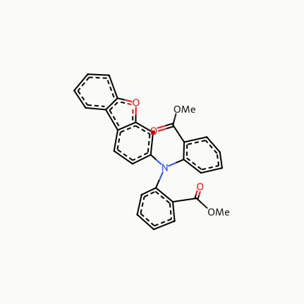 COC(=O)c1ccccc1N(c1ccc2c(c1)oc1ccccc12)c1ccccc1C(=O)OC